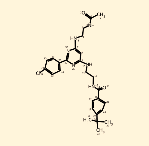 CC(=O)NCCNc1cc(NCCNC(=O)c2ccc(C(C)(C)C)cc2)nc(-c2ccc(Cl)cc2)n1